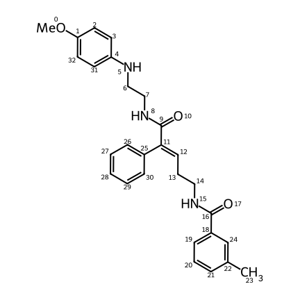 COc1ccc(NCCNC(=O)C(=CCCNC(=O)c2cccc(C)c2)c2ccccc2)cc1